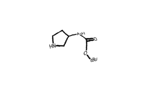 CC(C)(C)OC(=O)[AsH]C1CCNC1